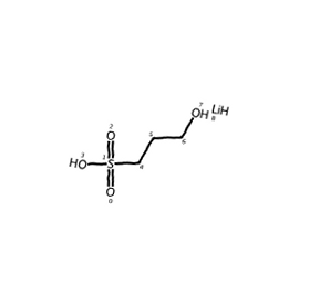 O=S(=O)(O)CCCO.[LiH]